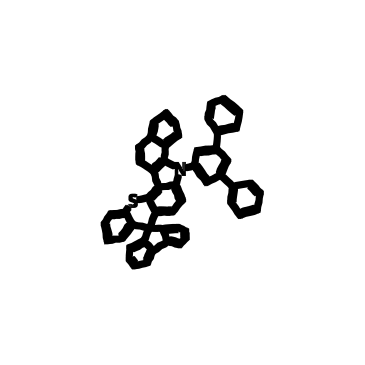 c1ccc(-c2cc(-c3ccccc3)cc(-n3c4ccc5c(c4c4ccc6ccccc6c43)Sc3ccccc3C53c4ccccc4-c4ccccc43)c2)cc1